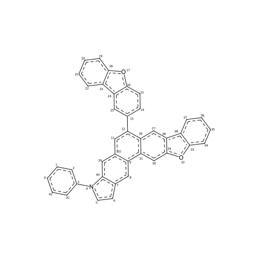 c1ccc(-n2ccc3cc4c(cc(-c5ccc6oc7ccccc7c6c5)c5cc6c(cc54)oc4ccccc46)cc32)cc1